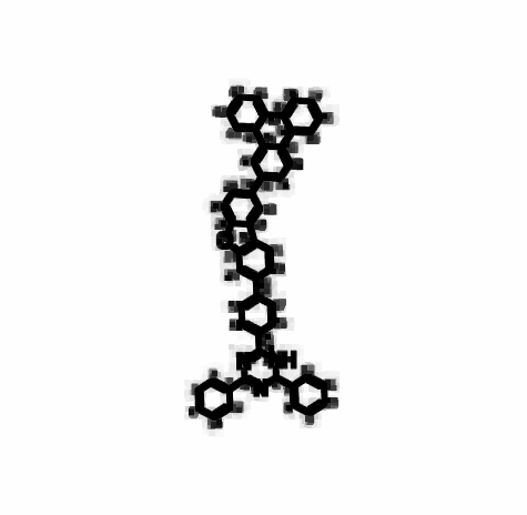 c1ccc(C2=NC(c3ccccc3)NC(c3ccc(-c4ccc5c(c4)oc4ccc(-c6ccc7c8ccccc8c8ccccc8c7c6)cc45)cc3)=N2)cc1